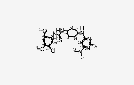 COc1cc(OC)c(NC(=S)NC2CCC(Nc3cc(N(C)C)nc(C)n3)CC2)cc1Cl